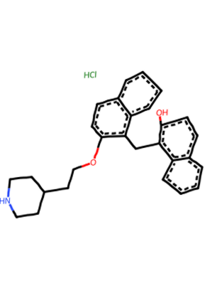 Cl.Oc1ccc2ccccc2c1Cc1c(OCCC2CCNCC2)ccc2ccccc12